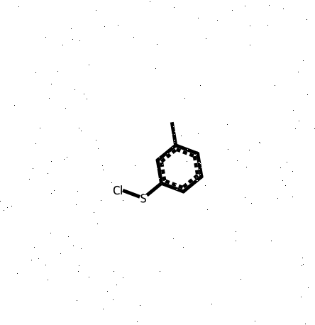 Cc1cccc(SCl)c1